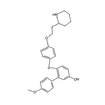 COc1ccc(-c2cc(O)ccc2Oc2ccc(OCCC3CCCCN3)cc2)cc1